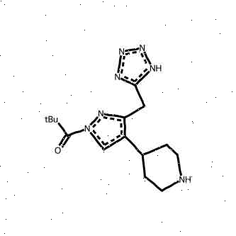 CC(C)(C)C(=O)n1cc(C2CCNCC2)c(Cc2nnn[nH]2)n1